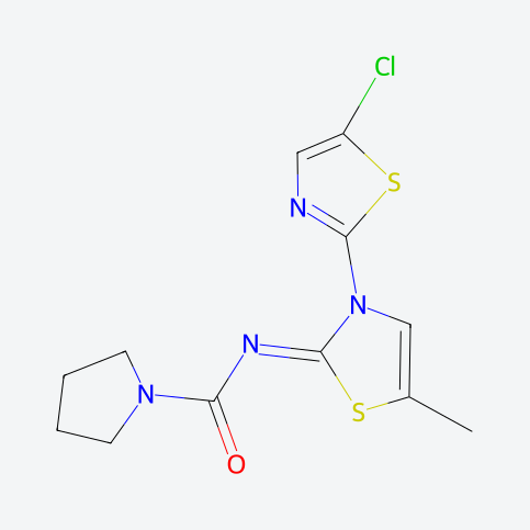 Cc1cn(-c2ncc(Cl)s2)c(=NC(=O)N2CCCC2)s1